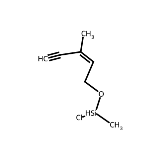 C#CC(C)=CCO[SiH](C)Cl